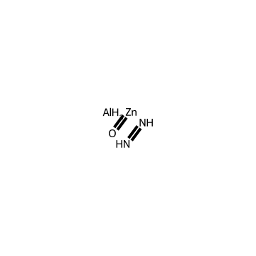 N=N.[AlH3].[O]=[Zn]